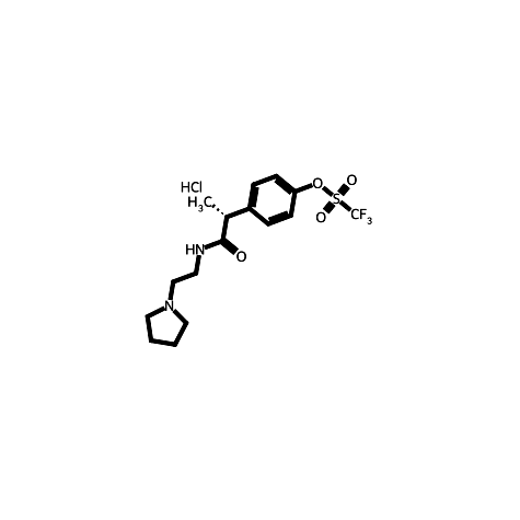 C[C@@H](C(=O)NCCN1CCCC1)c1ccc(OS(=O)(=O)C(F)(F)F)cc1.Cl